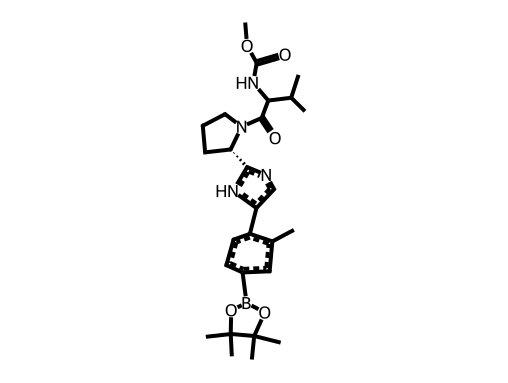 COC(=O)NC(C(=O)N1CCC[C@H]1c1ncc(-c2ccc(B3OC(C)(C)C(C)(C)O3)cc2C)[nH]1)C(C)C